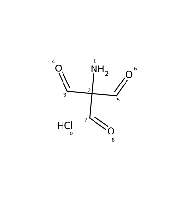 Cl.NC(C=O)(C=O)C=O